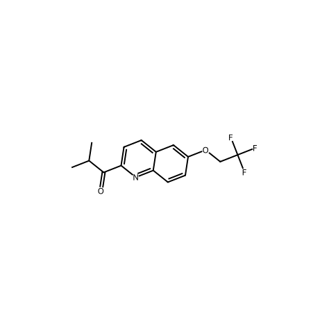 CC(C)C(=O)c1ccc2cc(OCC(F)(F)F)ccc2n1